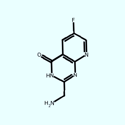 NCc1nc2ncc(F)cc2c(=O)[nH]1